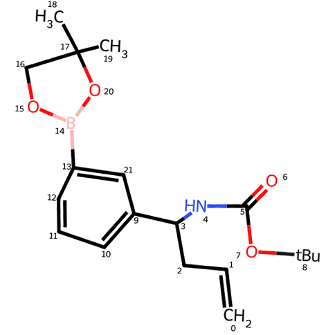 C=CCC(NC(=O)OC(C)(C)C)c1cccc(B2OCC(C)(C)O2)c1